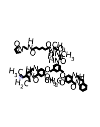 C=CC1=C(/C=C\C)C[C@H]2C=Nc3cc(OCc4cc(COc5cc6c(cc5OC)C(=O)N5c7ccccc7C[C@H]5C=N6)cc(NC(=O)[C@H](C)NC(=O)[C@H](C)NC(=O)CCCCC(=O)NCCN5CC=CC5=O)c4)c(OC)cc3C(=O)N12